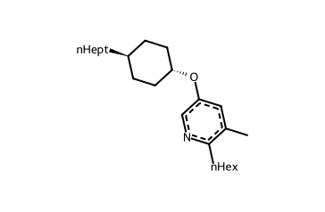 CCCCCCC[C@H]1CC[C@H](Oc2cnc(CCCCCC)c(C)c2)CC1